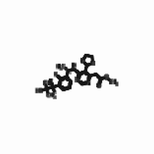 COC(=O)Cc1ncnc(N[C@H](C)c2cccc(C(F)(F)C(C)(C)O)c2F)c1C1OCCO1